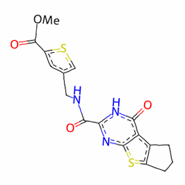 COC(=O)c1cc(CNC(=O)c2nc3sc4c(c3c(=O)[nH]2)CCC4)cs1